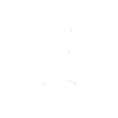 Cn1ncc(Cl)c1-c1cc(NC(=O)c2cccc(C(F)(F)F)c2)ccc1OCCN1CCC(F)(F)C1